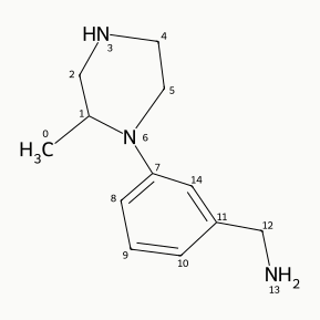 CC1CNCCN1c1cccc(CN)c1